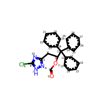 O=COC(Cc1n[nH]c(Cl)n1)C(c1ccccc1)(c1ccccc1)c1ccccc1